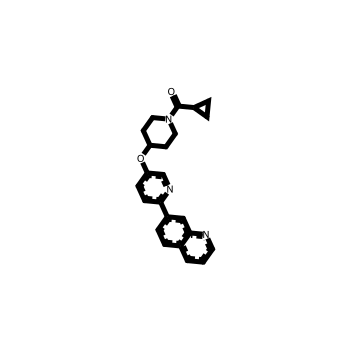 O=C(C1CC1)N1CCC(Oc2ccc(-c3ccc4cccnc4c3)nc2)CC1